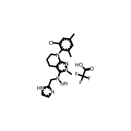 CCCN(Cc1ncc[nH]1)c1c2c(nn1C)N(c1c(C)cc(C)cc1Cl)CCC2.O=C(O)C(F)(F)F